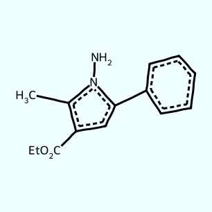 CCOC(=O)c1cc(-c2ccccc2)n(N)c1C